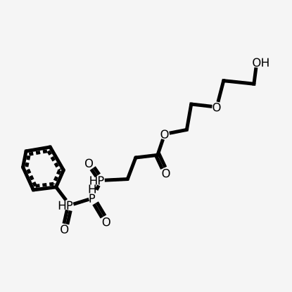 O=C(CC[PH](=O)[PH](=O)[PH](=O)c1ccccc1)OCCOCCO